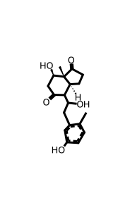 Cc1ccc(O)cc1CC(O)C1C(=O)C[C@@H](O)[C@]2(C)C(=O)CC[C@@H]12